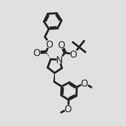 COc1cc(C[C@H]2C[C@H](C(=O)OCc3ccccc3)N(C(=O)OC(C)(C)C)C2)cc(OC)c1